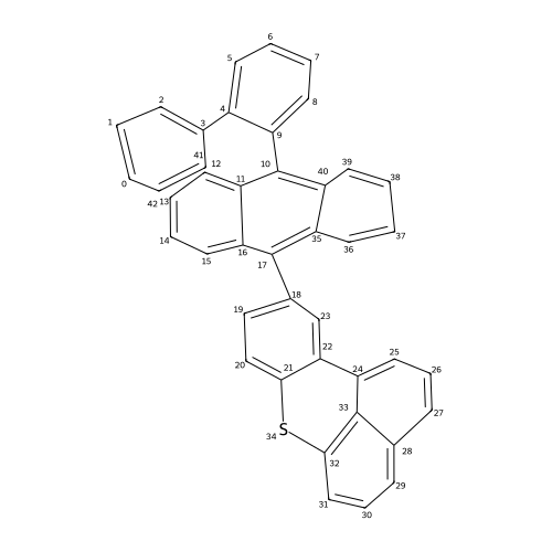 c1ccc(-c2ccccc2-c2c3ccccc3c(-c3ccc4c(c3)-c3cccc5cccc(c35)S4)c3ccccc23)cc1